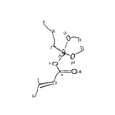 CC=CC(=O)O[Si](CCC)(OC)OC